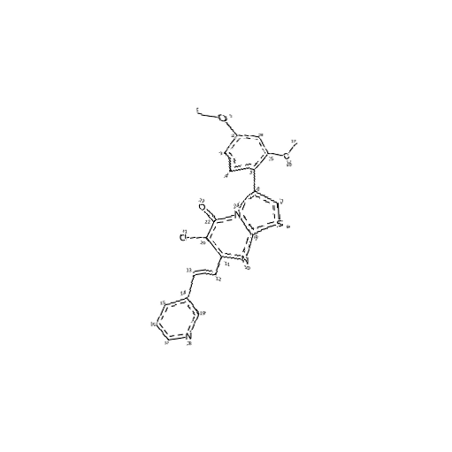 COc1ccc(-c2csc3nc(/C=C/c4cccnc4)c(Cl)c(=O)n23)c(OC)c1